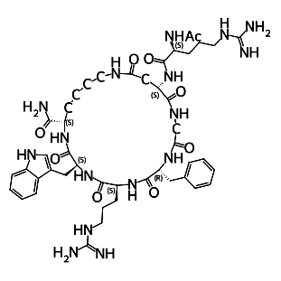 CC(=O)N[C@@H](CCCNC(=N)N)C(=O)N[C@H]1CC(=O)NCCCC[C@@H](C(N)=O)NC(=O)[C@H](Cc2c[nH]c3ccccc23)NC(=O)[C@H](CCCNC(=N)N)NC(=O)[C@@H](Cc2ccccc2)NC(=O)CNC1=O